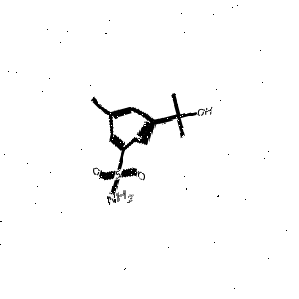 Cc1cc(C(C)(C)O)cc(S(N)(=O)=O)c1